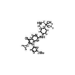 CC(C)(C)c1nc(-n2c3nc(Nc4ccc5c(c4)CNCC5(C)C)ncc3c(=O)n2C2CC2)cs1